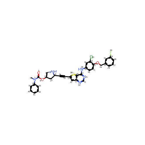 CN(C(=O)OC1CNC(C#Cc2cc3ncnc(Nc4ccc(OCc5cccc(F)c5)c(Cl)c4)c3s2)C1)c1ccccc1